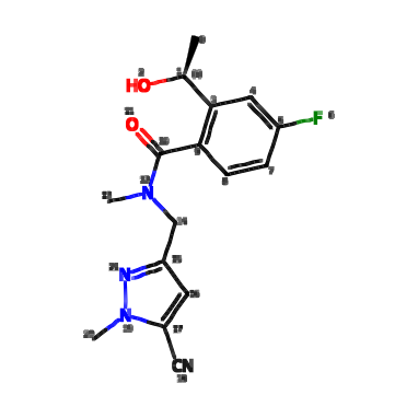 C[C@H](O)c1cc(F)ccc1C(=O)N(C)Cc1cc(C#N)n(C)n1